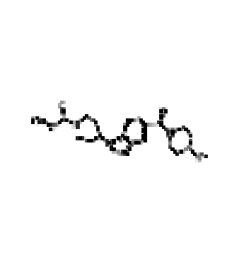 CC(C)N1CCN(C(=O)c2ccc3c(ccn3C3CCN(C(=O)OC(C)(C)C)CC3)c2)CC1